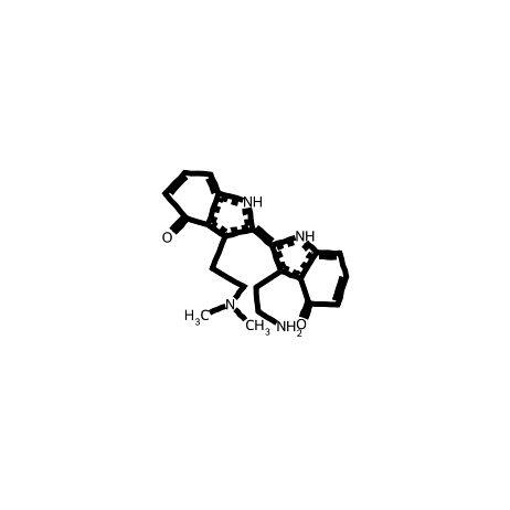 CN(C)CCc1c2c([nH]c1=c1[nH]c3c(c1CCN)C(=O)C=CC=3)=CC=CC2=O